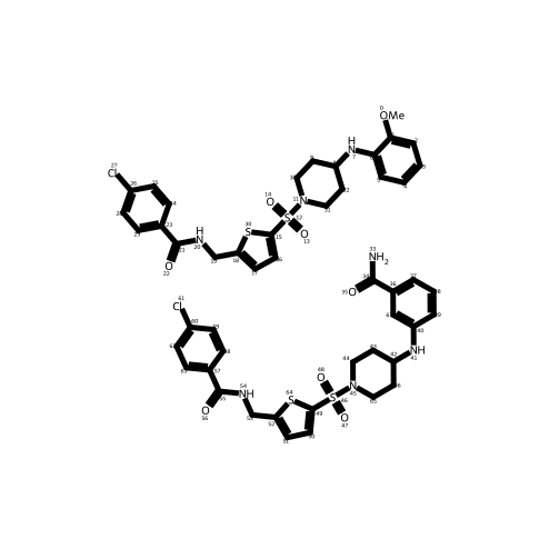 COc1ccccc1NC1CCN(S(=O)(=O)c2ccc(CNC(=O)c3ccc(Cl)cc3)s2)CC1.NC(=O)c1cccc(NC2CCN(S(=O)(=O)c3ccc(CNC(=O)c4ccc(Cl)cc4)s3)CC2)c1